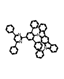 c1ccc(-c2cc(-c3ccccc3)nc(-c3cc(-c4ccccc4)c(-n4c5ccccc5c5cc6c7ccccc7n(-c7ccccc7)c6cc54)c(-c4ccccc4)c3)n2)cc1